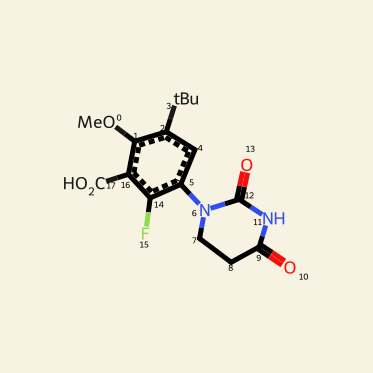 COc1c(C(C)(C)C)cc(N2CCC(=O)NC2=O)c(F)c1C(=O)O